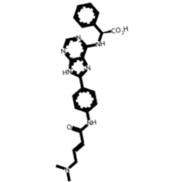 CN(C)C/C=C/C(=O)Nc1ccc(-c2nc3c(N[C@H](C(=O)O)c4ccccc4)ncnc3[nH]2)cc1